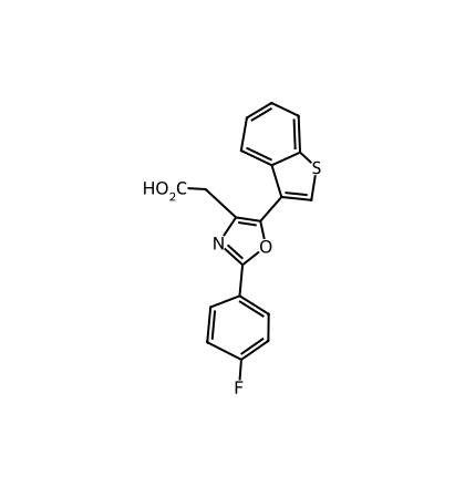 O=C(O)Cc1nc(-c2ccc(F)cc2)oc1-c1csc2ccccc12